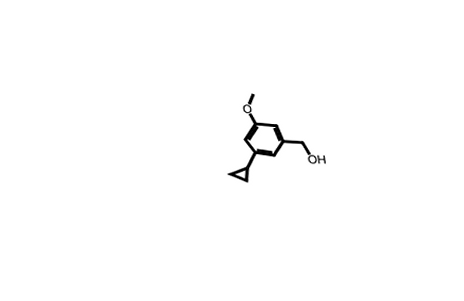 COc1cc(CO)cc(C2CC2)c1